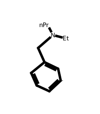 CCCN(CC)Cc1c[c]ccc1